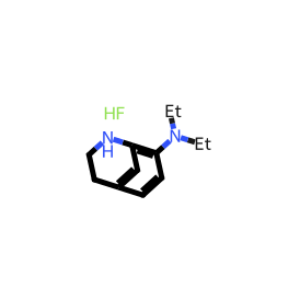 CCN(CC)c1ccc2cc1NCC2.F